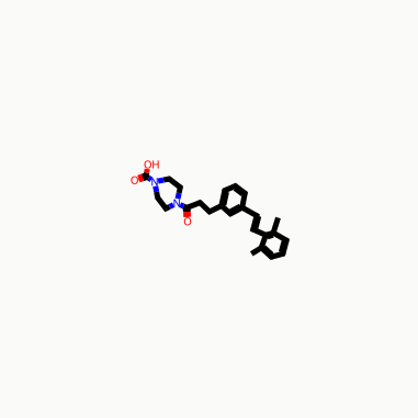 Cc1cccc(C)c1C=Cc1cccc(CCC(=O)N2CCN(C(=O)O)CC2)c1